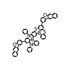 c1ccc(N2c3ccccc3B3c4cc5c(cc4N(c4ccccc4)c4cc(-c6ccc7oc8cc9ccccc9cc8c7c6)cc2c43)Sc2cc(-c3ccc4oc6cc7ccccc7cc6c4c3)cc3c2B5c2ccccc2S3)cc1